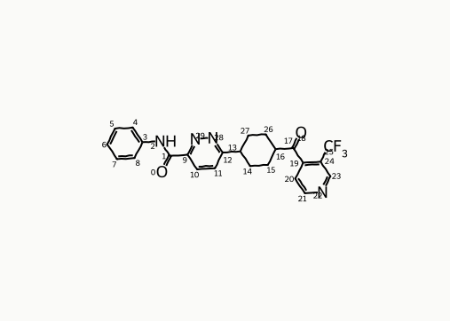 O=C(Nc1ccccc1)c1ccc(C2CCC(C(=O)c3ccncc3C(F)(F)F)CC2)nn1